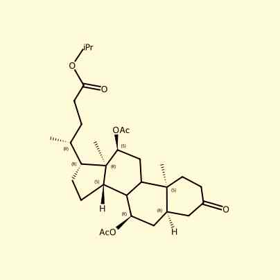 CC(=O)O[C@H]1CC2C([C@H](OC(C)=O)C[C@@H]3CC(=O)CC[C@]23C)[C@@H]2CC[C@H]([C@H](C)CCC(=O)OC(C)C)[C@@]12C